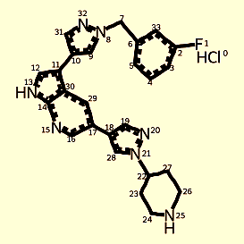 Cl.Fc1cccc(Cn2cc(-c3c[nH]c4ncc(-c5cnn(C6CCNCC6)c5)cc34)cn2)c1